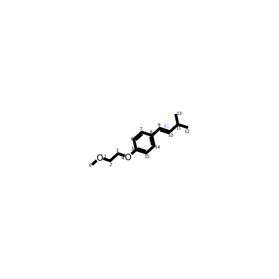 COCCOc1ccc(/C=C/C(C)C)cc1